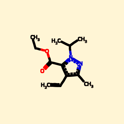 C=Cc1c(C)nn(C(C)C)c1C(=O)OCC